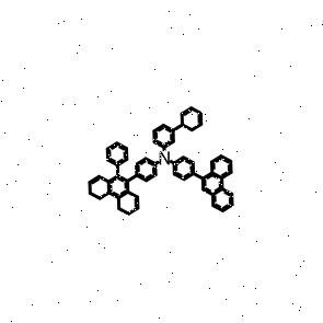 C1=CCC(c2cccc(N(c3ccc(-c4c5c(c6c(c4-c4ccccc4)C=CCC6)CCC=C5)cc3)c3ccc(-c4cc5ccccc5c5ccccc45)cc3)c2)C=C1